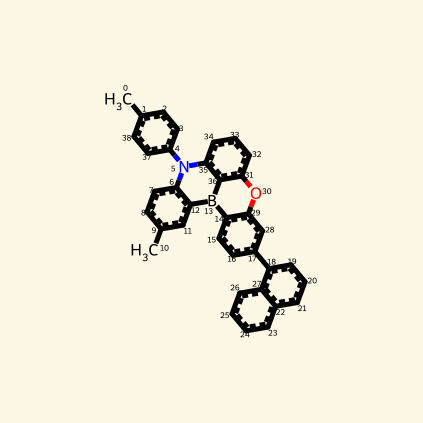 Cc1ccc(N2c3ccc(C)cc3B3c4ccc(-c5cccc6ccccc56)cc4Oc4cccc2c43)cc1